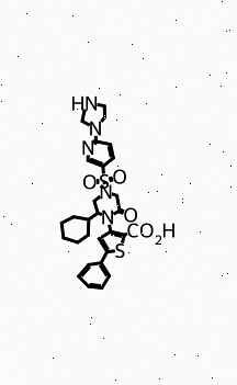 O=C(O)c1sc(-c2ccccc2)cc1N1C(=O)CN(S(=O)(=O)c2ccc(N3CCNCC3)nc2)CC1C1CCCCC1